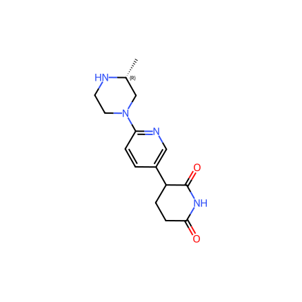 C[C@@H]1CN(c2ccc(C3CCC(=O)NC3=O)cn2)CCN1